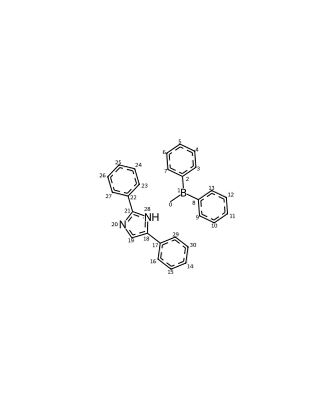 CB(c1ccccc1)c1ccccc1.c1ccc(-c2cnc(-c3ccccc3)[nH]2)cc1